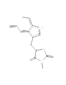 C=C/C=c1/c(CC2NC(=S)N(C)C2=O)c[nH]/c1=C/C